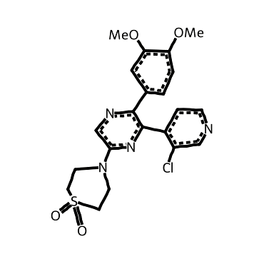 COc1ccc(-c2ncc(N3CCS(=O)(=O)CC3)nc2-c2ccncc2Cl)cc1OC